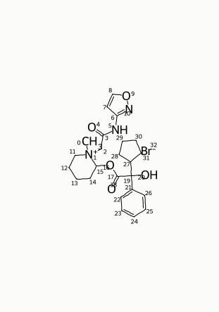 C[N+]1(CC(=O)Nc2ccon2)CCCCC1OC(=O)C(O)(c1ccccc1)C1CCCC1.[Br-]